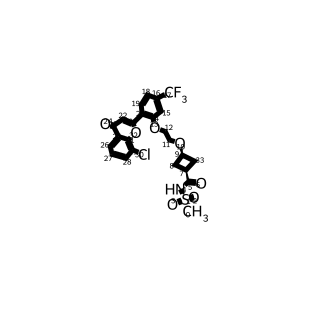 CS(=O)(=O)NC(=O)[C@H]1C[C@@H](OCCOc2cc(C(F)(F)F)ccc2-c2cc(=O)c3cccc(Cl)c3o2)C1